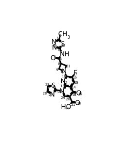 Cc1nnc(NC(=O)C2CN(c3nc4c(cc3F)c(=O)c(C(=O)O)cn4-c3nccs3)C2)s1